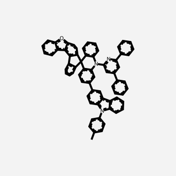 Cc1ccc(-n2c3ccccc3c3cc(-c4ccc5c(c4)N(c4cc(-c6ccccc6)cc(-c6ccccc6)n4)c4ccccc4C54c5ccccc5-c5c4ccc4oc6ccccc6c54)ccc32)cc1